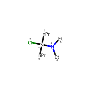 CCC[Si](Cl)(CCC)N(CC)CC